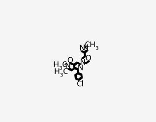 Cc1cc2c(-c3ccc(Cl)cc3)nc(N3CCOC(c4cnn(C)c4)C3)cc2c(=O)n1C